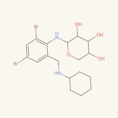 OC1COC(Nc2c(Br)cc(Br)cc2CNC2CCCCC2)C(O)C1O